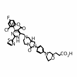 COC(=O)C1=C(CN2CCN3C(=O)N(c4ccc(N5CCO[C@H](CCC(=O)O)C5)cc4)C[C@@H]3C2)NC(c2nccs2)=N[C@H]1c1ccc(F)cc1Cl